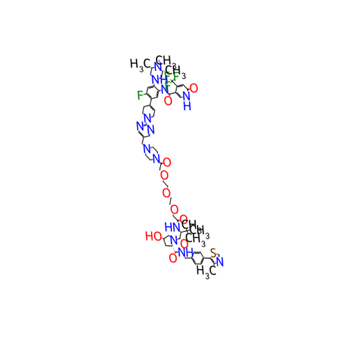 Cc1ncsc1-c1ccc(CNC(=O)[C@@H]2C[C@@H](O)CN2C(=O)C(NC(=O)COCCOCCOCC(=O)N2CCN(Cc3cnc(N4CC=C(c5cc(NC(=O)c6c[nH]c(=O)cc6C(F)(F)F)c(N6C[C@@H](C)N(C)[C@@H](C)C6)cc5F)CC4)nc3)CC2)C(C)(C)C)cc1